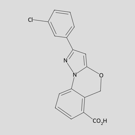 O=C(O)c1cccc2c1COc1cc(-c3cccc(Cl)c3)nn1-2